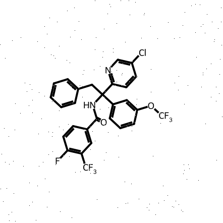 O=C(NC(Cc1ccccc1)(c1cccc(OC(F)(F)F)c1)c1ccc(Cl)cn1)c1ccc(F)c(C(F)(F)F)c1